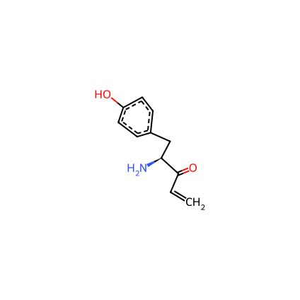 C=CC(=O)[C@@H](N)Cc1ccc(O)cc1